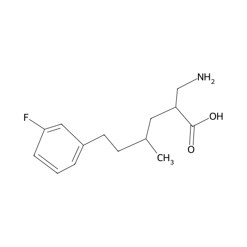 CC(CCc1cccc(F)c1)CC(CN)C(=O)O